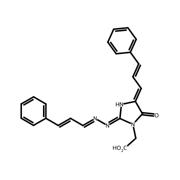 O=C(O)CN1C(=O)C(=CC=Cc2ccccc2)NC1=NN=CC=Cc1ccccc1